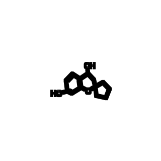 Oc1ccc2c(c1)OC1(CCCC1)CC2O